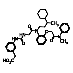 CC(CCN(C(=O)CNC(=O)Nc1cccc(CC(=O)O)c1)c1ccccc1OCC(=O)N(C)c1ccccc1)C1CCCCC1